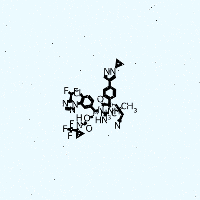 CC(C)(CC#N)C[C@]1(c2ccc(-c3cnn(C4CC4)c3)cc2)NC(=N)N([C@H](COC(=O)NC2(C(F)(F)F)CC2)c2ccc(Cl)c(-n3ncnc3C(F)F)c2)C1=O